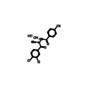 CC(C)(C)N(NC(=O)c1ccc(C#N)cc1)C(=O)c1ccc(Cl)c(Cl)c1.Cl.Cl